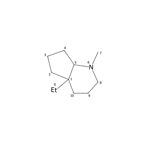 CCC12CCCC1N(C)CCC2